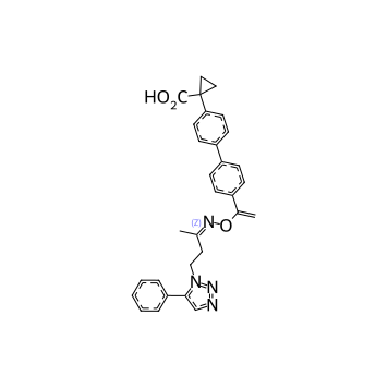 C=C(O/N=C(/C)CCn1nncc1-c1ccccc1)c1ccc(-c2ccc(C3(C(=O)O)CC3)cc2)cc1